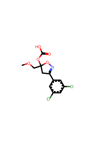 COCC1(OC(=O)O)CC(c2cc(Cl)cc(Cl)c2)=NO1